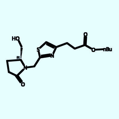 CCCCOC(=O)CCc1csc(CN2C(=O)CC[C@@H]2CO)n1